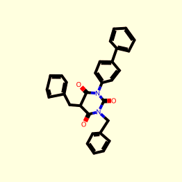 O=C1C(Cc2ccccc2)C(=O)N(c2ccc(-c3ccccc3)cc2)C(=O)N1Cc1ccccc1